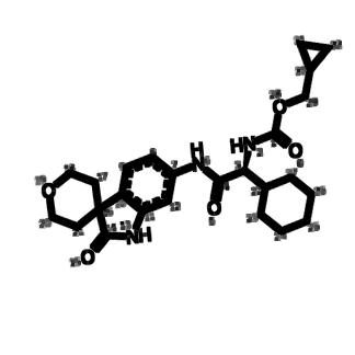 O=C(N[C@H](C(=O)Nc1ccc2c(c1)NC(=O)C21CCOCC1)C1CCCCC1)OCC1CC1